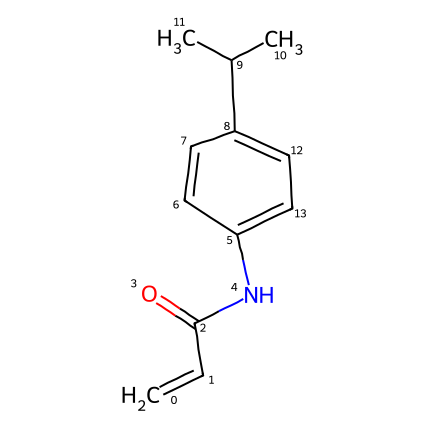 C=CC(=O)Nc1ccc(C(C)C)cc1